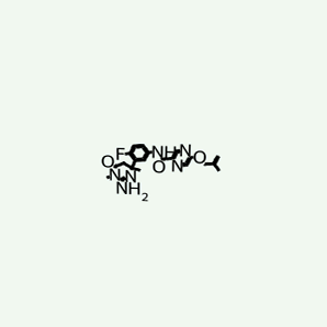 C=C(C)COc1cnc(C(=O)Nc2ccc(F)c(C3(C)CC(=O)N(C)C(N)=N3)c2)cn1